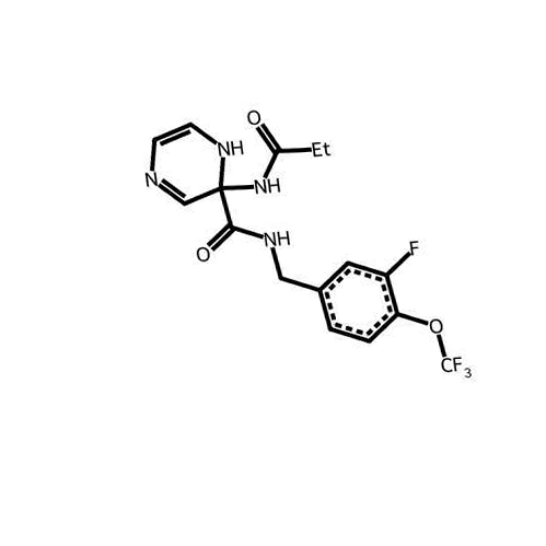 CCC(=O)NC1(C(=O)NCc2ccc(OC(F)(F)F)c(F)c2)C=NC=CN1